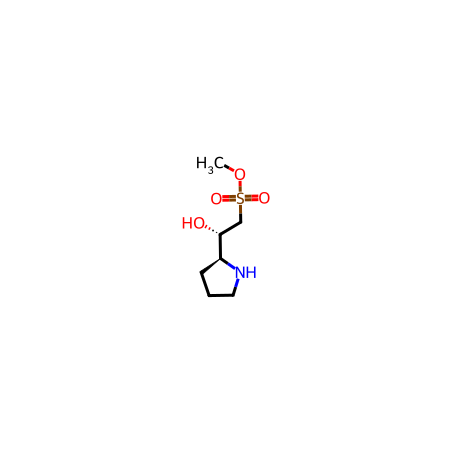 COS(=O)(=O)C[C@@H](O)[C@@H]1CCCN1